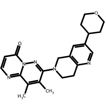 Cc1c(N2CCc3ncc(C4CCOCC4)cc3C2)nn2c(=O)ccnc2c1C